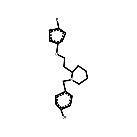 Oc1ccc(CN2CCCCC2CCOc2ccc(F)cc2)cc1